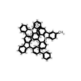 Cc1ccc2c(c1)c1cc(C)ccc1n2-c1ccccc1-c1ccc2c(c1)c1ccccc1n2-c1ccccc1-c1ccc2c(c1)-c1ccccc1C2c1ccc(-c2ccccc2)cc1